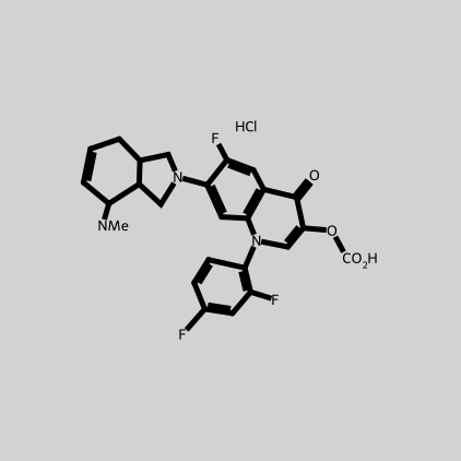 CNC1C=CCC2CN(c3cc4c(cc3F)c(=O)c(OC(=O)O)cn4-c3ccc(F)cc3F)CC21.Cl